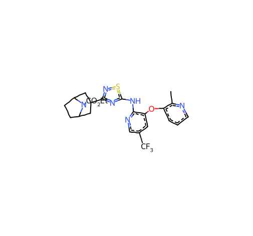 CCOC(=O)N1C2CCC1CC(c1nsc(Nc3ncc(C(F)(F)F)cc3Oc3cccnc3C)n1)C2